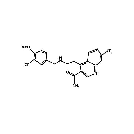 COc1ccc(CNCCc2c(C(N)=O)cnc3cc(C(F)(F)F)ccc23)cc1Cl